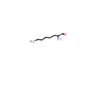 CCCCCCC(N)C=O